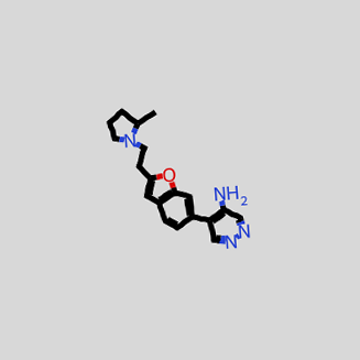 CC1CCCN1CCc1cc2ccc(-c3cnncc3N)cc2o1